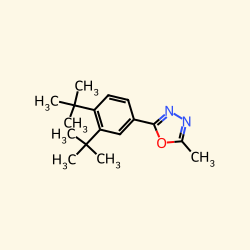 Cc1nnc(-c2ccc(C(C)(C)C)c(C(C)(C)C)c2)o1